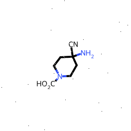 N#CC1(N)CCN(C(=O)O)CC1